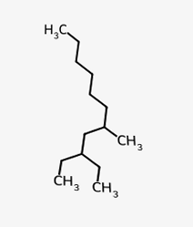 CCCCCCC(C)CC(CC)CC